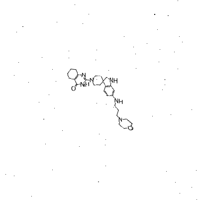 O=c1[nH]c(N2CCC3(CC2)CNc2cc(NCCCN4CCOCC4)ccc23)nc2c1CCCC2